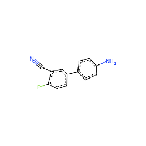 N#Cc1cc(-c2ccc(N)cc2)ccc1F